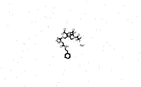 O=C(Cn1nnnc1SCC1=C(C(=O)[O-])N2C(=O)[C@@H]3[C@H]2C1CCN3C(=O)C(F)(F)F)NCCc1ccccc1.[Na+]